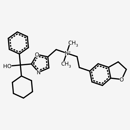 C[N+](C)(CCc1ccc2c(c1)CCO2)Cc1cnc(C(O)(c2ccccc2)C2CCCCC2)o1